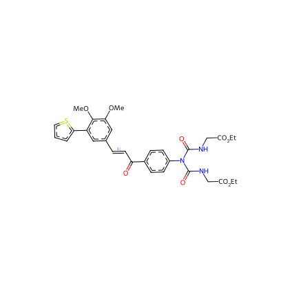 CCOC(=O)CNC(=O)N(C(=O)NCC(=O)OCC)c1ccc(C(=O)/C=C/c2cc(OC)c(OC)c(-c3cccs3)c2)cc1